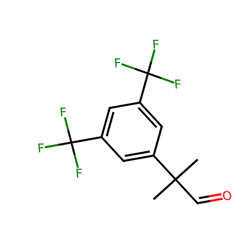 CC(C)(C=O)c1cc(C(F)(F)F)cc(C(F)(F)F)c1